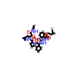 C=CCNC(=O)C(=O)C(CC1CC1)NC(=O)C1CCCN1C(=O)[C@@H](NC(=O)NC1(CS(=O)(=O)CCC(C)C)CCCCC1)C1CCCCC1